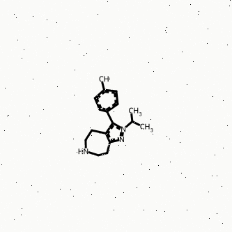 [CH]c1ccc(-c2c3c(nn2C(C)C)CCNCC3)cc1